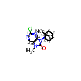 Cn1c(=O)n(C2CC3CCC2(C#N)CC3)c2nc(Cl)ncc21